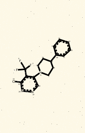 FC(F)(F)c1c(N2CCC(c3ccccc3)CC2)cnnc1Cl